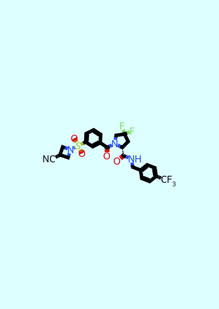 N#CC1CN(S(=O)(=O)c2cccc(C(=O)N3CC(F)(F)C[C@@H]3C(=O)NCc3ccc(C(F)(F)F)cc3)c2)C1